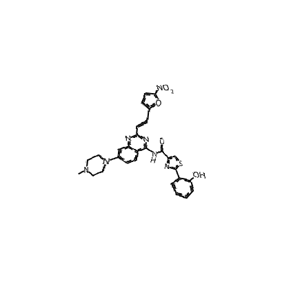 CN1CCN(c2ccc3c(NC(=O)c4csc(-c5ccccc5O)n4)nc(/C=C/c4ccc([N+](=O)[O-])o4)nc3c2)CC1